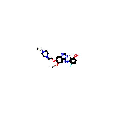 COc1cc2c(Nc3c(F)ccc(O)c3C)ncnc2cc1OCCN1CCN(C)CC1